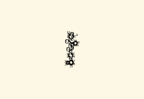 C[C@@H]1CN(C(=O)c2nn(CC(=O)N3CCN(c4cccc5c4CC5)CC3)c3c2CCC3)C[C@H](C)O1